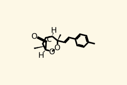 Cc1ccc(C=C[C@]2(C)OO[C@H]3CC[C@@H]2CC(=O)[C@H]3C)cc1